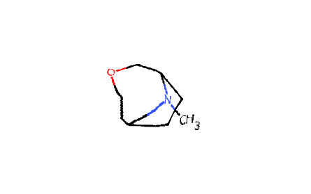 CN1C2CCC1COC2